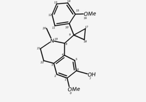 COc1cc2c(cc1O)C(C1(c3ccccc3OC)CC1)N(C)CC2